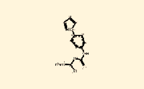 CCCCCC(CC)OC(=O)Nc1ccc([SH]2C=CC=C2)cc1